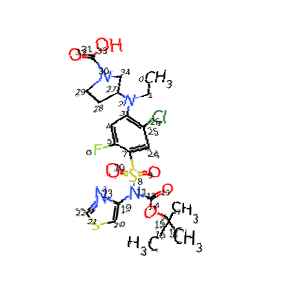 CCN(c1cc(F)c(S(=O)(=O)N(C(=O)OC(C)(C)C)c2cscn2)cc1Cl)C1CCN(C(=O)O)C1